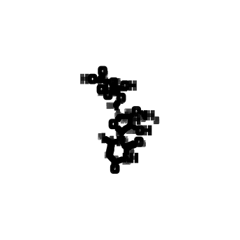 N.O=c1cc(I)n([C@@H]2O[C@H](COP(=O)(O)OP(=O)(O)O)[C@@H](O)[C@H]2O)c(=O)[nH]1